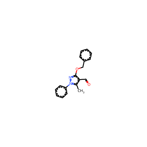 Cc1c(C=O)c(OCc2ccccc2)nn1-c1ccccc1